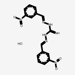 Cl.N=C(NN=Cc1cccc([N+](=O)[O-])c1)NN=Cc1cccc([N+](=O)[O-])c1